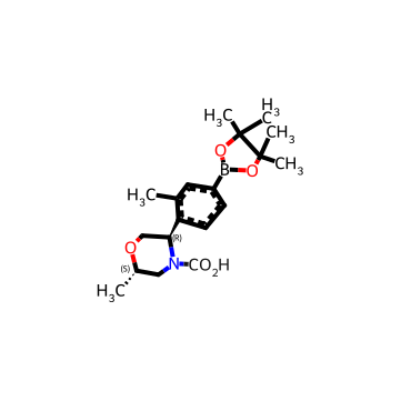 Cc1cc(B2OC(C)(C)C(C)(C)O2)ccc1[C@@H]1CO[C@@H](C)CN1C(=O)O